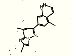 Cc1cn2nc(-c3cc(F)c4ccnnc4c3)cc(C)c2n1